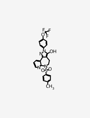 Cc1ccc(S(=O)(=O)N2CCc3c(nn(-c4ccc(OC(F)(F)F)cc4)c3O)-c3cccnc32)cc1